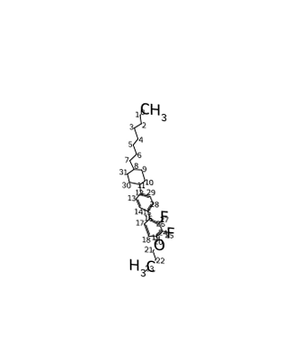 CCCCCCCCC1CCC(c2ccc(-c3ccc(OCCC)c(F)c3F)cc2)CC1